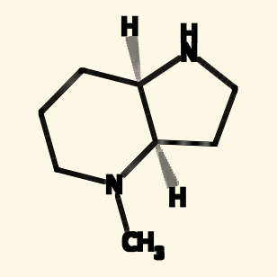 CN1CCC[C@H]2NCC[C@H]21